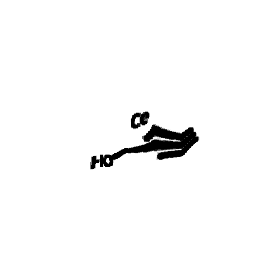 C#CO.[Ce]